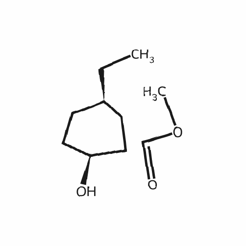 CC[C@H]1CC[C@@H](O)CC1.COC=O